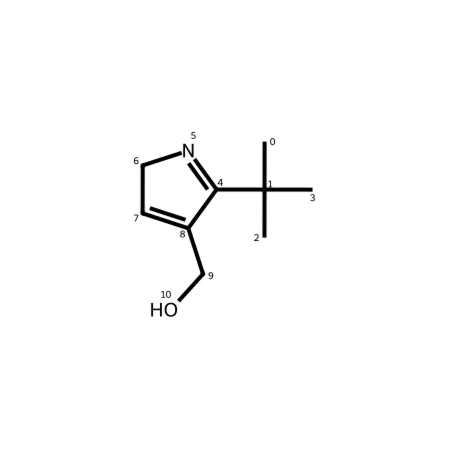 CC(C)(C)C1=NCC=C1CO